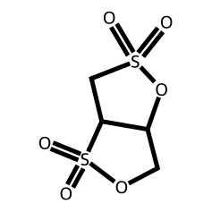 O=S1(=O)CC2C(COS2(=O)=O)O1